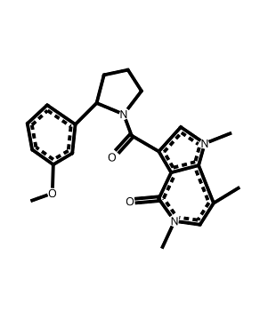 COc1cccc(C2CCCN2C(=O)c2cn(C)c3c(C)cn(C)c(=O)c23)c1